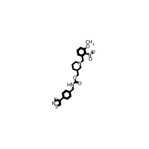 COc1cccc(CN2CCCC(COC(=O)NCc3ccc(-c4csnn4)cc3)C2)c1[N+](=O)[O-]